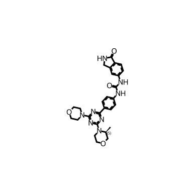 C[C@H]1COCCN1c1nc(-c2ccc(NC(=O)Nc3ccc4c(c3)CNC4=O)cc2)nc(N2CCOCC2)n1